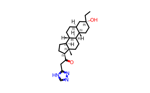 CC[C@@]1(O)CC[C@H]2[C@@H](CC[C@@H]3[C@@H]2CC[C@]2(C)[C@@H](C(=O)Cc4nnc[nH]4)CC[C@@H]32)C1